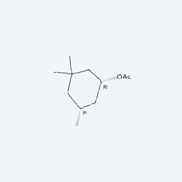 CC(=O)O[C@@H]1C[C@H](C)CC(C)(C)C1